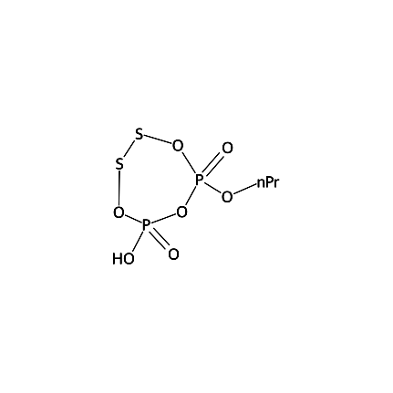 CCCOP1(=O)OSSOP(=O)(O)O1